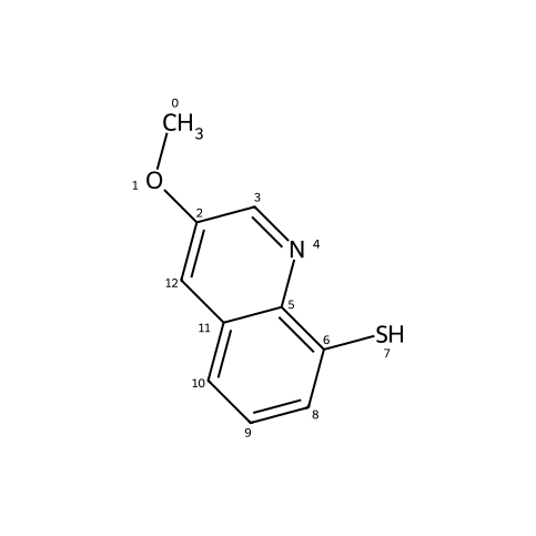 COc1cnc2c(S)cccc2c1